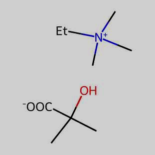 CC(C)(O)C(=O)[O-].CC[N+](C)(C)C